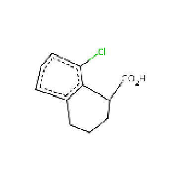 O=C(O)C1CCCc2cccc(Cl)c21